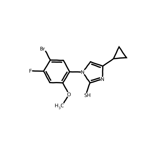 COc1cc(F)c(Br)cc1-n1cc(C2CC2)nc1S